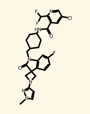 Cn1ccc(N2CC3(C2)C(=O)N(CC2CCC(NC(=O)c4cc(Cl)cnc4C(F)F)CC2)c2cc(F)ccc23)n1